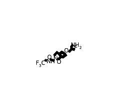 NC/C(=C\F)COc1ccc2c(c1)CCN(CC(=O)NCC(F)(F)F)C2=O